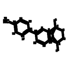 CC12CCC(C)(CC1)c1cc(-c3ccc(C#N)cn3)ccc12